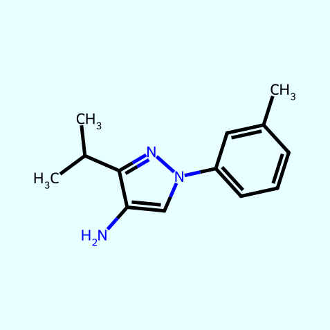 Cc1cccc(-n2cc(N)c(C(C)C)n2)c1